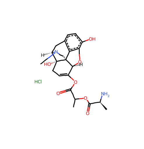 CC(OC(=O)[C@H](C)N)C(=O)OC1=CC[C@@]2(O)[C@H]3Cc4ccc(O)c5c4[C@@]2(CCN3C)[C@H]1O5.Cl